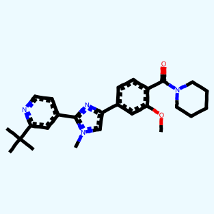 COc1cc(-c2cn(C)c(-c3ccnc(C(C)(C)C)c3)n2)ccc1C(=O)N1CCCCC1